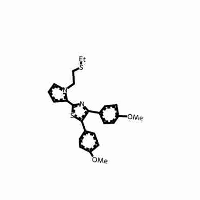 CCSCCn1cccc1-c1nc(-c2ccc(OC)cc2)c(-c2ccc(OC)cc2)s1